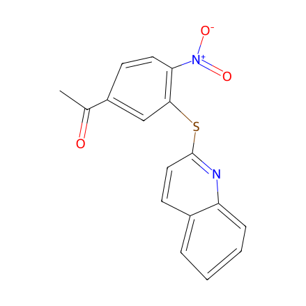 CC(=O)c1ccc([N+](=O)[O-])c(Sc2ccc3ccccc3n2)c1